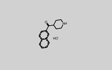 Cl.O=C(c1ccc2ccccc2c1)C1CCNCC1